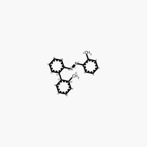 Cc1ccccc1/N=N/c1ccccc1-c1cc[c]cc1C